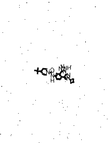 CC(C)(C)C1CCN(C(=O)Nc2ccc(-c3cnn(C4CCC4)c3)c(-c3nn[nH]n3)c2)CC1